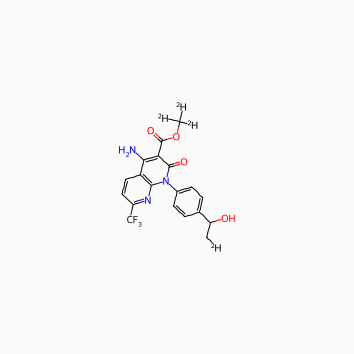 [2H]CC(O)c1ccc(-n2c(=O)c(C(=O)OC([2H])([2H])[2H])c(N)c3ccc(C(F)(F)F)nc32)cc1